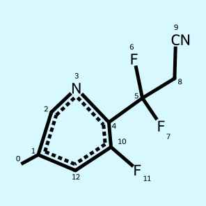 Cc1cnc(C(F)(F)CC#N)c(F)c1